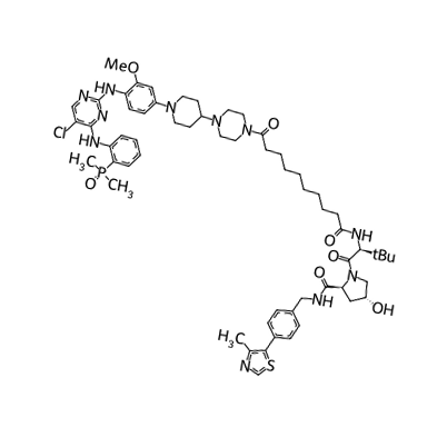 COc1cc(N2CCC(N3CCN(C(=O)CCCCCCCCC(=O)N[C@H](C(=O)N4C[C@H](O)C[C@H]4C(=O)NCc4ccc(-c5scnc5C)cc4)C(C)(C)C)CC3)CC2)ccc1Nc1ncc(Cl)c(Nc2ccccc2P(C)(C)=O)n1